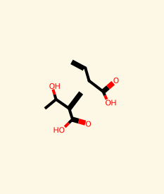 C=C(C(=O)O)C(C)O.C=CCC(=O)O